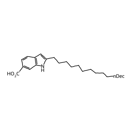 CCCCCCCCCCCCCCCCCCCCc1cc2ccc(C(=O)O)cc2[nH]1